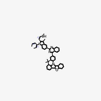 CB/C=C\c1c(C)c2cc(-c3nc(-c4ccc5c(c4)C(C)(C)c4cccc6c7oc8ccccc8c7n-5c46)c4ccccc4n3)ccc2n1C(/C=C\C)=C/C